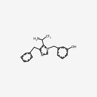 NC(c1c(Cc2ccccc2)ncn1Cc1cccc(O)c1)C(F)(F)F